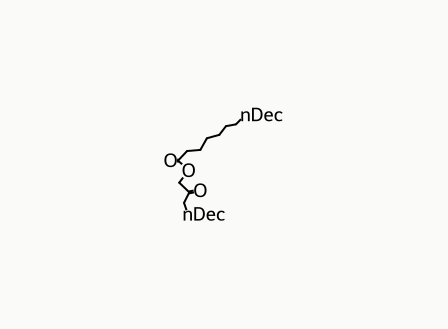 CCCCCCCCCCCCCCCCC(=O)OCC(=O)CCCCCCCCCCC